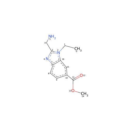 CCn1c(CN)nc2ccc(C(=O)OC)cc21